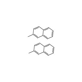 Cc1[c]c2ccccc2cc1.Cc1[c]c2ccccc2cc1